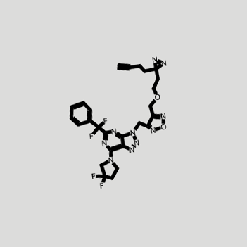 C#CCCC1(CCOCc2nonc2Cn2nnc3c(N4CCC(F)(F)C4)nc(C(F)(F)c4ccccc4)nc32)N=N1